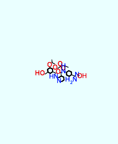 CCOC(=O)COc1c(CNc2ncccc2C(=O)Nc2ccc(/C(N)=N/O)cc2)cc(CO)cc1OC(C)C